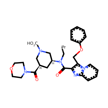 CC(C)CN(C(=O)c1nc2ccccn2c1COc1ccccc1)[C@H]1C[C@@H](C(=O)N2CCOCC2)CN(C(=O)O)C1